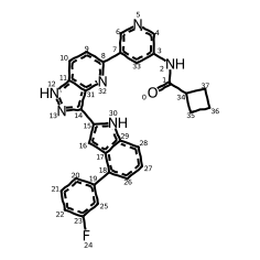 O=C(Nc1cncc(-c2ccc3[nH]nc(-c4cc5c(-c6cccc(F)c6)cccc5[nH]4)c3n2)c1)C1CCC1